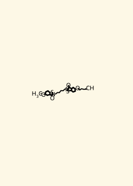 C#CCCCOc1ccc2sn(CCCCCCn3sc4ccc(OC)cc4c3=O)c(=O)c2c1